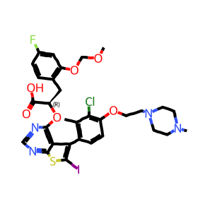 COCOc1cc(F)ccc1C[C@@H](Oc1ncnc2sc(I)c(-c3ccc(OCCN4CCN(C)CC4)c(Cl)c3C)c12)C(=O)O